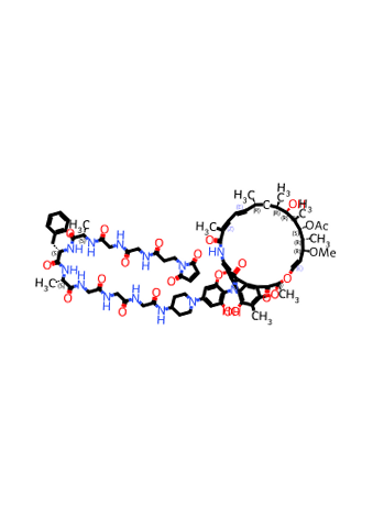 CO[C@H]1/C=C/O[C@@]2(C)Oc3c(C)c(O)c4c(=O)c(c5oc6cc(N7CCC(NC(=O)CNC(=O)CNC(=O)CNC(=O)[C@H](C)NC(=O)[C@H](Cc8ccccc8)NC(=O)[C@H](C)NC(=O)CNC(=O)CNC(=O)CCN8C(=O)C=CC8=O)CC7)cc(O)c6nc-5c4c3C2=O)NC(=O)/C(C)=C\C=C\[C@H](C)C[C@@H](C)[C@@H](O)[C@@H](C)[C@H](OC(C)=O)[C@@H]1C